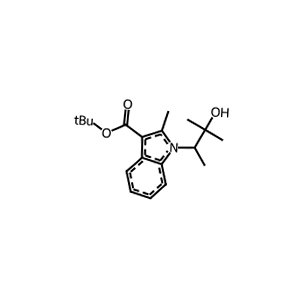 Cc1c(C(=O)OC(C)(C)C)c2ccccc2n1C(C)C(C)(C)O